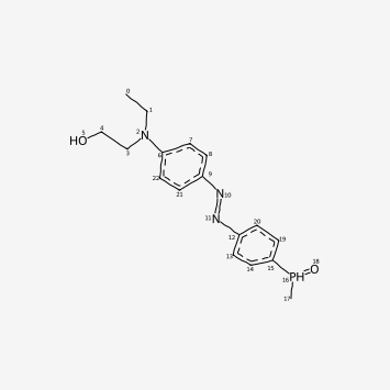 CCN(CCO)c1ccc(/N=N/c2ccc([PH](C)=O)cc2)cc1